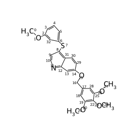 COc1cccc(Sc2ccnc3cc(OCc4cc(OC)c(OC)c(OC)c4)ccc23)c1